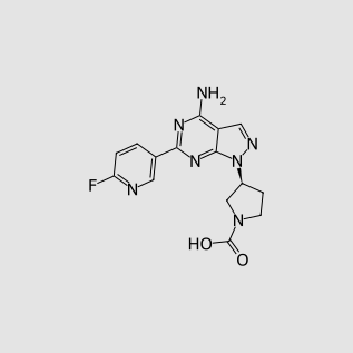 Nc1nc(-c2ccc(F)nc2)nc2c1cnn2[C@H]1CCN(C(=O)O)C1